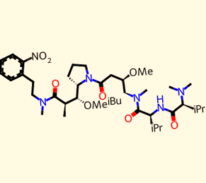 CC[C@H](C)[C@@H]([C@@H](CC(=O)N1CCC[C@H]1[C@H](OC)[C@@H](C)C(=O)N(C)CCc1ccccc1[N+](=O)[O-])OC)N(C)C(=O)[C@@H](NC(=O)[C@H](C(C)C)N(C)C)C(C)C